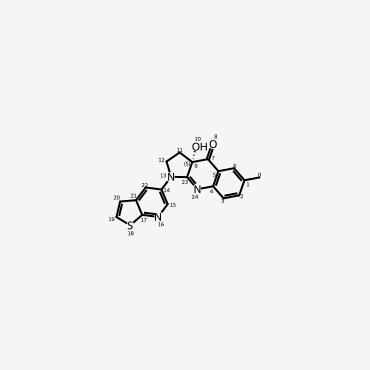 Cc1ccc2c(c1)C(=O)[C@]1(O)CCN(c3cnc4sccc4c3)C1=N2